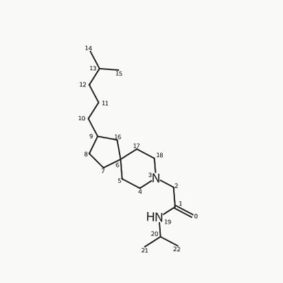 C=C(CN1CCC2(CCC(CCCC(C)C)C2)CC1)NC(C)C